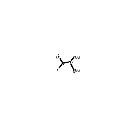 CCCCN(CCCC)C(I)CC